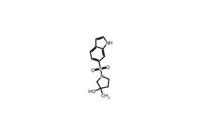 CC1(O)CCN(S(=O)(=O)c2ccc3cc[nH]c3c2)C1